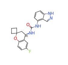 O=C(Nc1cccc2[nH]ncc12)N[C@@H]1CC2(CCC2)Oc2ccc(F)cc21